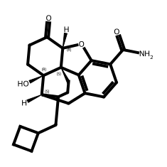 NC(=O)c1ccc2c3c1O[C@H]1C(=O)CC[C@@]4(O)[C@@H](C2)C(CC2CCC2)CC[C@]314